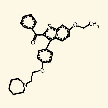 CCOc1ccc2c(-c3ccc(OCCN4CCCCC4)cc3)c(C(=O)c3ccccc3)sc2c1